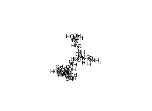 C[C@@H]1O[C@@H](OCCNC(=O)CCCNC(=O)CN(CC(=O)NCCCC(=O)NCCO[C@H]2O[C@H](CO[C@H]3O[C@H](CO)[C@@H](O)[C@H](O)[C@@H]3O)[C@@H](O)[C@H](O[C@H]3O[C@H](CO)[C@@H](O)[C@H](O)[C@@H]3O)[C@@H]2O)CC(=O)NCCC(=O)NC(=O)CN)[C@@H](O)[C@H](O)[C@@H]1O